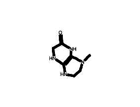 CN1CCNC2=C1NC(=O)CN2